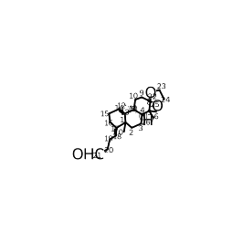 CC12CC[C@H]3C(C)(C)C4(CC[C@]3(C)C1=CCCC2=CCCC=O)OCCO4